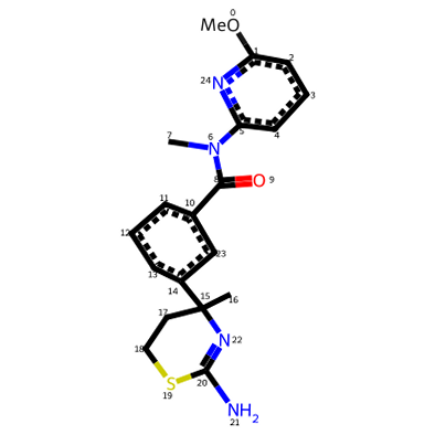 COc1cccc(N(C)C(=O)c2cccc(C3(C)CCSC(N)=N3)c2)n1